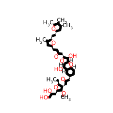 C=C1C[C@H](CCC(=O)C[C@H]2O[C@H]3[C@@H](O)[C@H]4C[C@@H](CC(=O)C[C@@H]5[C@@H](OC)[C@@H](C[C@H](O)CO)O[C@H]5CC)CC[C@@H]4O[C@H]3[C@H]2O)O[C@H]1CC[C@H]1C[C@@H](C)C(=C)[C@@H](C)O1